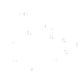 CC(COc1cncc(CO)c1)Oc1cnc2ccc(-c3cn(SF)c4nc(Cl)nc(Cl)c34)cc2c1